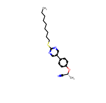 CCCCCCCCCSc1ncc(-c2ccc(O[C@H](C)C#N)cc2)cn1